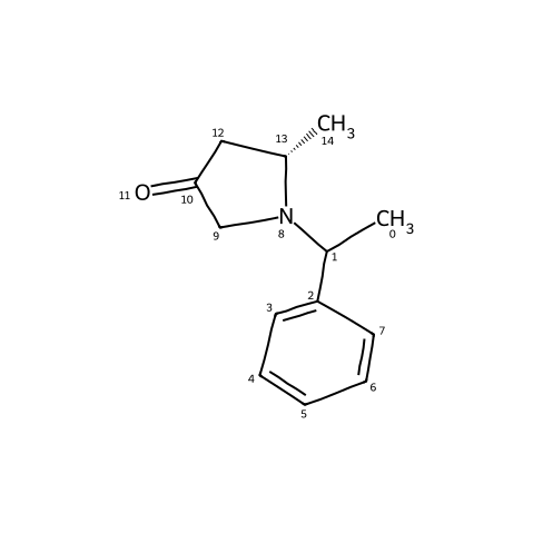 CC(c1ccccc1)N1CC(=O)C[C@@H]1C